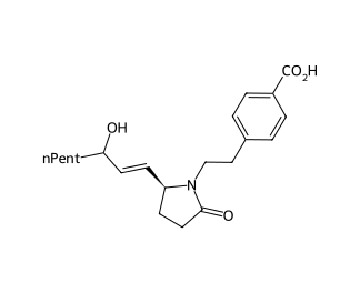 CCCCCC(O)/C=C/[C@@H]1CCC(=O)N1CCc1ccc(C(=O)O)cc1